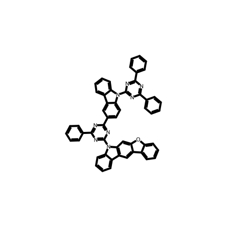 c1ccc(-c2nc(-c3ccccc3)nc(-n3c4ccccc4c4cc(-c5nc(-c6ccccc6)nc(-n6c7ccccc7c7cc8c(cc76)oc6ccccc68)n5)ccc43)n2)cc1